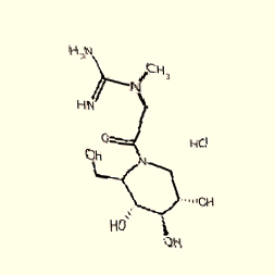 CN(CC(=O)N1C[C@H](O)[C@@H](O)[C@H](O)[C@H]1CO)C(=N)N.Cl